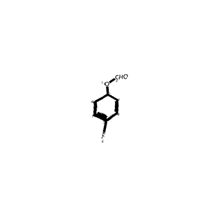 O=COC1C=CC(F)=CC1